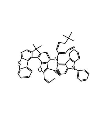 C#Cc1c(/C=C\C)oc2c3c(cc(N(C(/C=C\CC(C)(C)C)=C/C=C)c4cccc5c4c4c(n5-c5ccccc5)C=CCC4)c12)C(C)(C)c1ccc2sc4ccccc4c2c1-3